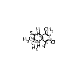 Cc1cc(Cl)c(F)c2c1NC(=S)C(C)(C)N2